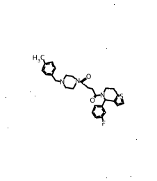 Cc1ccc(CN2CCN(C(=O)CCC(=O)N3CCc4sccc4C3c3cccc(F)c3)CC2)cc1